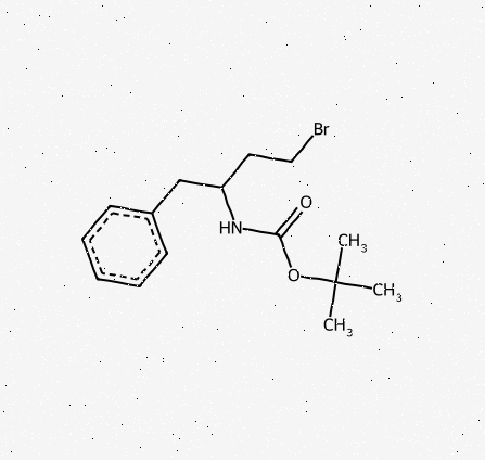 CC(C)(C)OC(=O)NC(CCBr)Cc1ccccc1